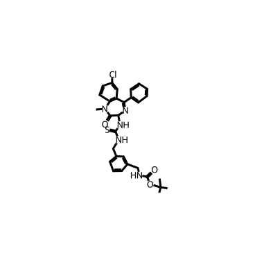 CN1C(=O)C(NC(=S)NCc2cccc(CNC(=O)OC(C)(C)C)c2)N=C(c2ccccc2)c2cc(Cl)ccc21